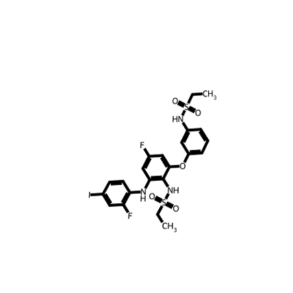 CCS(=O)(=O)Nc1cccc(Oc2cc(F)cc(Nc3ccc(I)cc3F)c2NS(=O)(=O)CC)c1